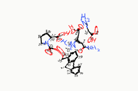 NC(=O)CC(N)C(=O)O.NCC(=O)O.O=C(O)[C@@H]1CCCN1C(=O)OCc1cccc2c1Cc1ccccc1-2